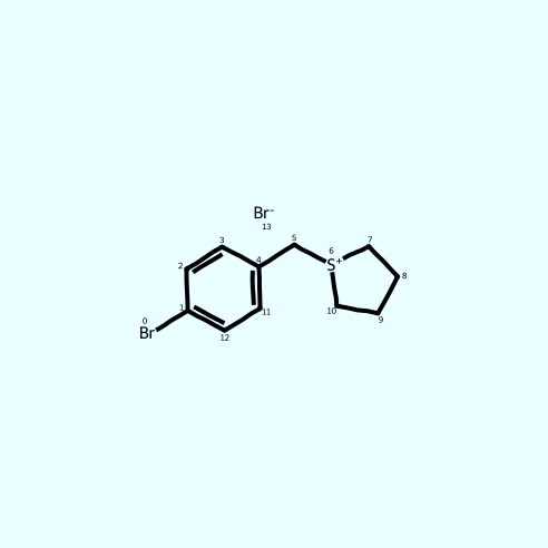 Brc1ccc(C[S+]2CCCC2)cc1.[Br-]